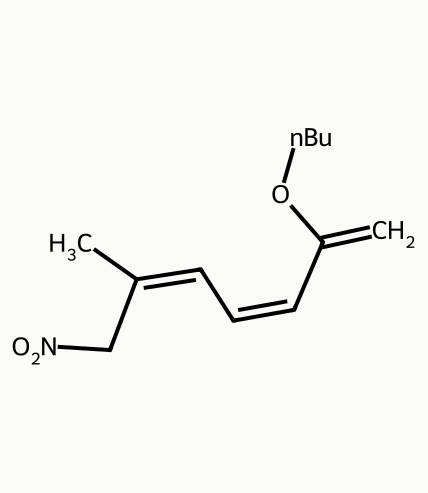 C=C(/C=C\C=C(\C)C[N+](=O)[O-])OCCCC